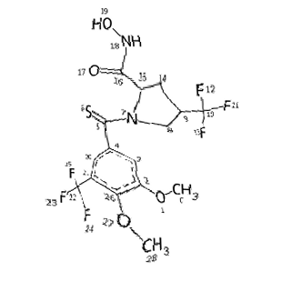 COc1cc(C(=S)N2CC(C(F)(F)F)CC2C(=O)NO)cc(C(F)(F)F)c1OC